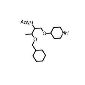 CC(=O)NC(COC1CCNCC1)C(C)OCC1CCCCC1